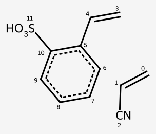 C=CC#N.C=Cc1ccccc1S(=O)(=O)O